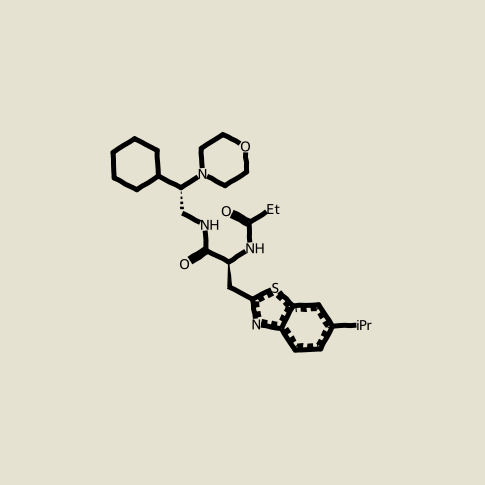 CCC(=O)N[C@@H](Cc1nc2ccc(C(C)C)cc2s1)C(=O)NC[C@H](C1CCCCC1)N1CCOCC1